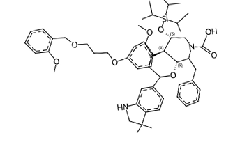 COCCCC(O[C@H]1C(Cc2ccccc2)N(C(=O)O)C[C@@H](O[Si](C(C)C)(C(C)C)C(C)C)[C@@H]1c1ccc(OCCCOCc2ccccc2OC)cc1)c1ccc2c(c1)NCC2(C)C